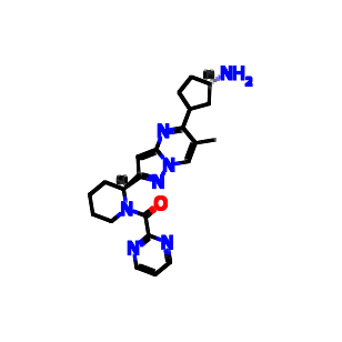 Cc1cn2nc([C@@H]3CCCCN3C(=O)c3ncccn3)cc2nc1C1CC[C@H](N)C1